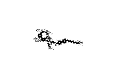 COc1ccc2cc1-c1cc(ccc1OC)[C@H](N(C)C(=O)[C@H](CCCCN)NC(=O)CCNC(=O)c1ccc(-c3ccc(CCCCCCCCC(C)(C)O)cc3)cc1)C(=O)N[C@@H](C)C(=O)N[C@H](C(=O)O)C2